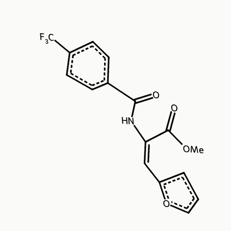 COC(=O)/C(=C\c1ccco1)NC(=O)c1ccc(C(F)(F)F)cc1